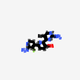 CCc1cnc(N)nc1-c1nc(-c2ccnc(N)c2F)ccc1O